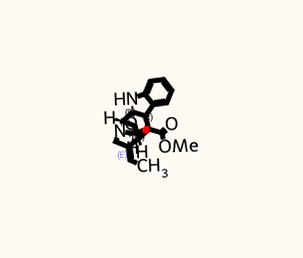 C/C=C1/CN2[C@@H]3C[C@@]45c6ccccc6N[C@]4(O3)[C@@H]2C[C@@H]1C5C(=O)OC